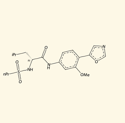 CCCS(=O)(=O)N[C@H](CC(C)C)C(=O)Nc1ccc(-c2cnco2)c(OC)c1